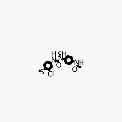 CSc1ccc(NC(=O)N(S)c2ccc(NC(C)=O)cc2)cc1Cl